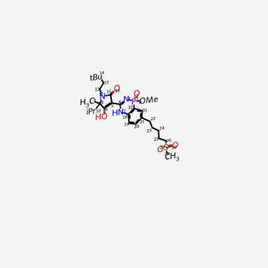 COP1(=O)N=C(C2=C(O)C(C)(C(C)C)N(CCC(C)(C)C)C2=O)Nc2ccc(CCCCCS(C)(=O)=O)cc21